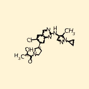 Cc1c(Nc2ncc3cc(Cl)c([C@H]4CCN(C(=O)[C@@H](C)O)C4)cc3n2)cnn1C1CC1